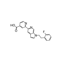 O=C(O)c1ccnc(-c2cc3ccn(CCc4ccccc4F)c3cn2)c1